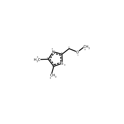 COCc1nc(C)c(C)s1